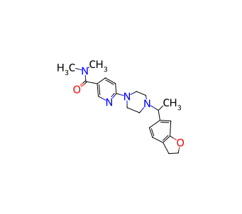 CC(c1ccc2c(c1)OCC2)N1CCN(c2ccc(C(=O)N(C)C)cn2)CC1